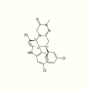 C=C(CC)[C@H]1N2CC(=O)N(C)N=C2C[C@@H](c2cccc(Cl)c2)[C@]12C(=O)Nc1cc(Cl)ccc12